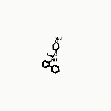 CCCCN1CCC(OC(=O)Nc2ccccc2-c2ccccc2)CC1